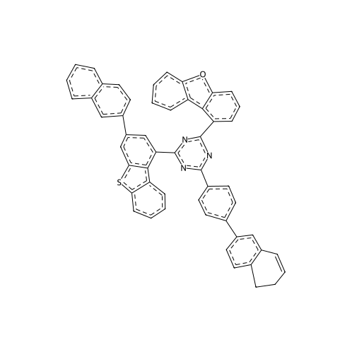 C1=Cc2cc(-c3ccc(-c4nc(-c5cccc6oc7ccccc7c56)nc(-c5cc(-c6ccc7ccccc7c6)cc6sc7ccccc7c56)n4)cc3)ccc2CC1